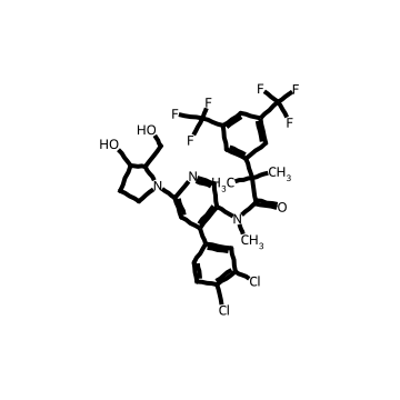 CN(C(=O)C(C)(C)c1cc(C(F)(F)F)cc(C(F)(F)F)c1)c1cnc(N2CCC(O)C2CO)cc1-c1ccc(Cl)c(Cl)c1